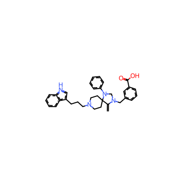 C=C1N(Cc2cccc(C(=O)O)c2)CN(c2ccccc2)C12CCN(CCCc1c[nH]c3ccccc13)CC2